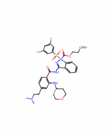 COCCOC(=O)[N+]1(S(=O)(=O)c2cc(F)cc(F)c2)N=C(NC(=O)c2ccc(CCN(C)C)cc2NC2CCOCC2)c2ccccc21